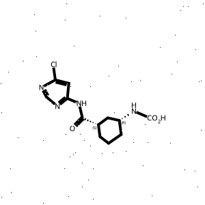 O=C(O)N[C@@H]1CCC[C@H](C(=O)Nc2cc(Cl)ncn2)C1